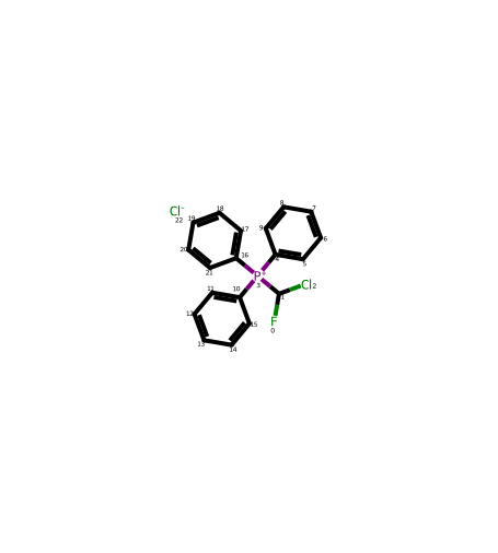 FC(Cl)[P+](c1ccccc1)(c1ccccc1)c1ccccc1.[Cl-]